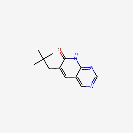 CC(C)(C)Cc1cc2cncnc2[nH]c1=O